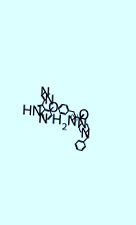 Cn1cncc1-c1c[nH]c2nccc(Oc3ccc(C[C@H](N)C(=O)N4CCN(Cc5ccccc5)CC4)cc3)c12